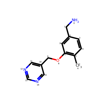 NCc1ccc(C(F)(F)F)c(OCc2cncnc2)c1